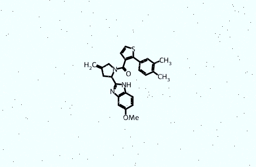 C=C1CC(c2nc3cc(OC)ccc3[nH]2)N(C(=O)c2ccsc2-c2ccc(C)c(C)c2)C1